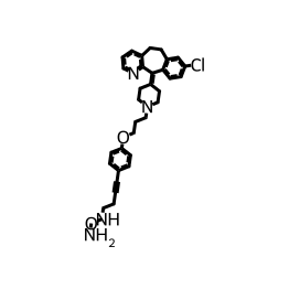 NONCCC#Cc1ccc(OCCCN2CCC(=C3c4ccc(Cl)cc4CCc4cccnc43)CC2)cc1